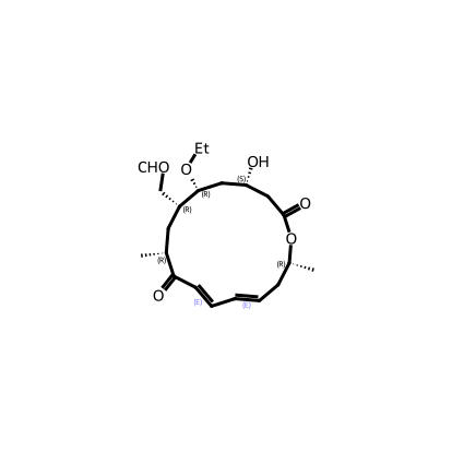 CCO[C@@H]1C[C@H](O)CC(=O)O[C@H](C)C/C=C/C=C/C(=O)[C@H](C)C[C@@H]1CC=O